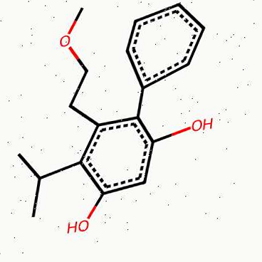 COCCc1c(-c2ccccc2)c(O)cc(O)c1C(C)C